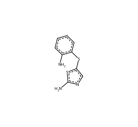 Nc1ncc(Sc2ccccc2N)s1